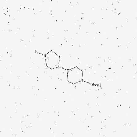 CCCCCN1CCN(C2CCN(I)CC2)CC1